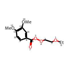 CCOC[CH]OOC(=O)c1ccc(OC)c(OC)c1